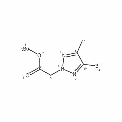 Cc1nn(CC(=O)OC(C)(C)C)nc1Br